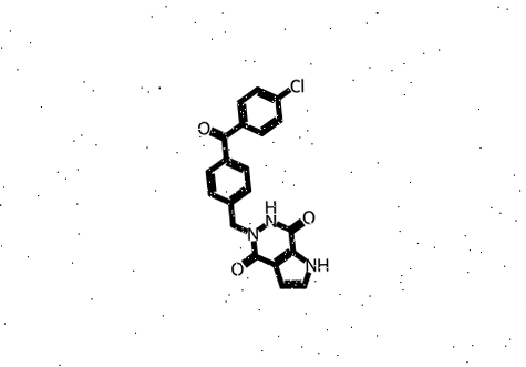 O=C(c1ccc(Cl)cc1)c1ccc(Cn2[nH]c(=O)c3[nH]ccc3c2=O)cc1